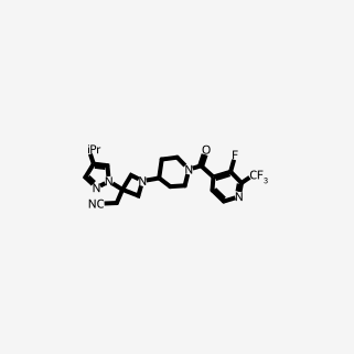 CC(C)c1cnn(C2(CC#N)CN(C3CCN(C(=O)c4ccnc(C(F)(F)F)c4F)CC3)C2)c1